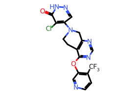 O=c1[nH]ncc(N2CCc3c(ncnc3Oc3cnccc3C(F)(F)F)C2)c1Cl